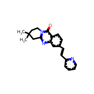 CC1(C)CCn2c(nc3cc(C=Cc4ccccn4)ccc3c2=O)C1